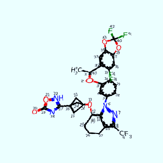 C[C@H](Oc1cc(-n2nc(C(F)(F)F)c3c2[C@H](OC24CC(c5nc(=O)o[nH]5)(C2)C4)CCC3)ccc1F)c1cc2c(cc1F)OC(F)(F)O2